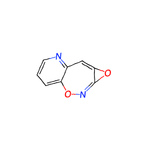 c1cnc2cc3oc-3noc2c1